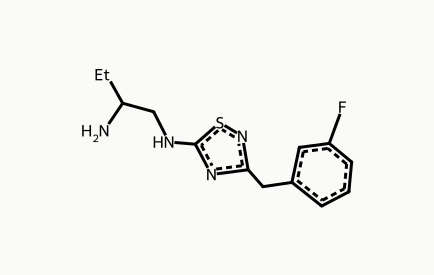 CCC(N)CNc1nc(Cc2cccc(F)c2)ns1